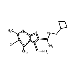 Cc1nc2sc(=C(/N)NCC3CCC3)/c(=C\N)c2c(C)c1Cl